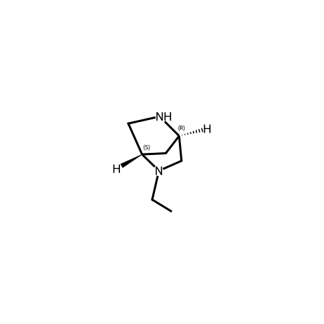 CCN1C[C@H]2C[C@H]1CN2